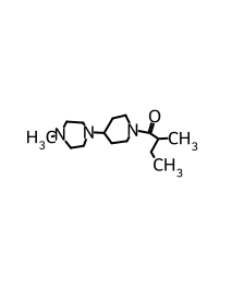 CCC(C)C(=O)N1CCC(N2CCN(C)CC2)CC1